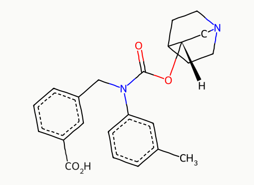 Cc1cccc(N(Cc2cccc(C(=O)O)c2)C(=O)O[C@H]2CN3CCC2CC3)c1